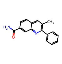 Cc1cc2ccc(C(N)=O)cc2nc1-c1ccccc1